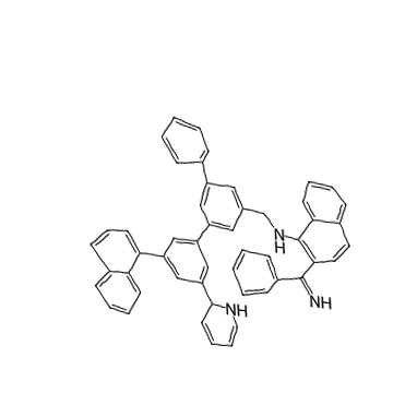 N=C(c1ccccc1)c1ccc2ccccc2c1NCc1cc(-c2ccccc2)cc(-c2cc(-c3cccc4ccccc34)cc(C3C=CC=CN3)c2)c1